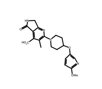 COc1ccc(OC2CCN(c3nc4c(c(C(=O)O)c3C)C(=O)NC4)CC2)cn1